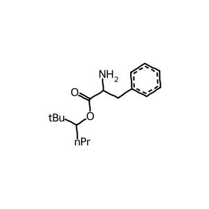 CCCC(OC(=O)C(N)Cc1ccccc1)C(C)(C)C